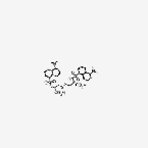 CN(C)c1cccc2c(S(=O)(=O)NC(CSSC[C@H](NS(=O)(=O)c3cccc4c(N(C)C)cccc34)C(=O)O)C(=O)O)cccc12